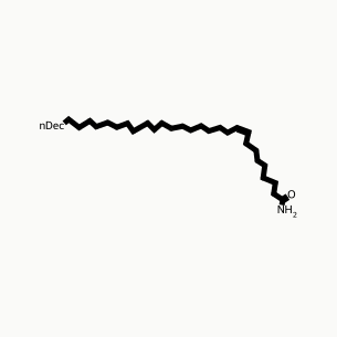 CCCCCCCCCCCCCCCCCCCCCCCCCCCC/C=C\CCCCCCCC(N)=O